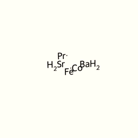 [BaH2].[Co].[Fe].[Pr].[SrH2]